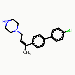 CC(=CCN1CCNCC1)c1ccc(-c2ccc(Cl)cc2)cc1